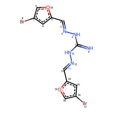 N=C(N/N=C/c1cc(Br)co1)N/N=C/c1cc(Br)co1